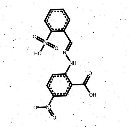 O=C(O)c1cc([N+](=O)[O-])ccc1N/N=C/c1ccccc1S(=O)(=O)O